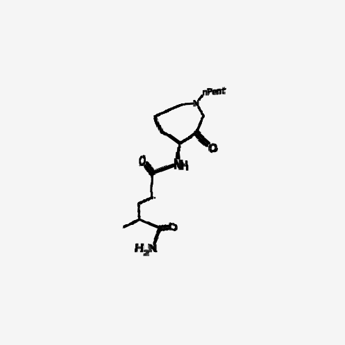 CCCCCN1CCC[C@H](NC(=O)[CH]CC(C)C(N)=O)C(=O)C1